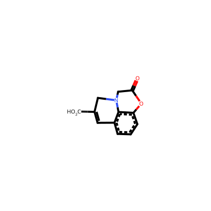 O=C1CN2CC(C(=O)O)=Cc3cccc(c32)O1